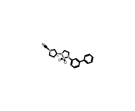 N#CN1CC[C@H](N2CCN(c3cccc(-c4ccccc4)c3)S2(=O)=O)C1